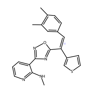 CNc1ncccc1-c1noc(/C(=C\c2ccc(C)c(C)c2)c2ccsc2)n1